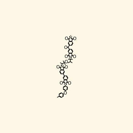 Cc1ccc(Oc2ccc(N3C(=O)c4ccc(-c5ccc6c(c5)C(=O)N(C(C)C(C)(C)OCC(C)C(C)(C)N5C(=O)c7ccc(C(=O)c8ccc9c(c8)C(=O)N(C)C9=O)cc7C5=O)C6=O)cc4C3=O)cc2)cc1